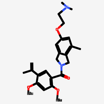 C=C(C)c1cc(C(=O)N2Cc3cc(OCCN(C)C)cc(C)c3C2)c(OCCCC)cc1OCCCC